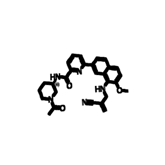 C=C(C#N)CNc1c(OC)ccc2ccc(-c3cccc(C(=O)N[C@@H]4CCCN(C(C)=O)C4)n3)cc12